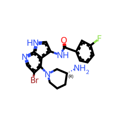 N[C@@H]1CCCN(c2c(Br)cnc3[nH]cc(NC(=O)c4cccc(F)c4)c23)C1